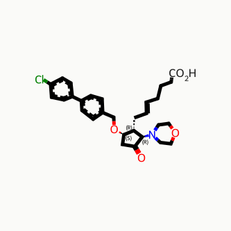 O=C(O)CCCC=CC[C@H]1[C@@H](OCc2ccc(-c3ccc(Cl)cc3)cc2)CC(=O)[C@@H]1N1CCOCC1